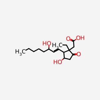 CCCCCC(O)C=CC1C(O)CC(=O)C1(CC)CC(=O)O